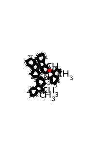 C/C=C\C(=C/C)c1ccccc1N(c1ccc2c(c1)C(C)(C)c1ccccc1-2)c1ccc2c(c1)C1(c3ccccc3-c3ccccc31)c1ccccc1-2